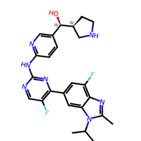 Cc1nc2c(F)cc(-c3nc(Nc4ccc([C@@H](O)[C@H]5CCNC5)cn4)ncc3F)cc2n1C(C)C